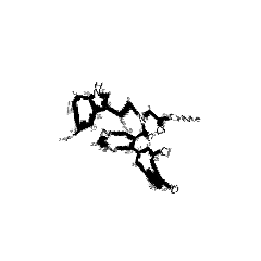 COC(=O)CN(CCc1c[nH]c2ccc(F)cc12)C(=O)c1cncnc1-c1ccc(Cl)c(Cl)c1